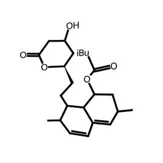 CCC(C)C(=O)OC1CC(C)C=C2C=CC(C)C(CC[C@@H]3CC(O)CC(=O)O3)C21